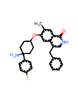 Cc1cc2c(=O)[nH]cc(Cc3ccccc3)c2cc1OC1CCC(N)(c2ccc(F)cc2)CC1